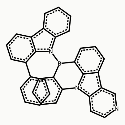 c1ccc(-c2cccc3c4ccccc4n(B4c5ccccc5-n5c6ccncc6c6cccc4c65)c23)cc1